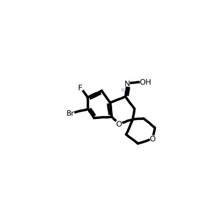 O/N=C1\CC2(CCOCC2)Oc2cc(Br)c(F)cc21